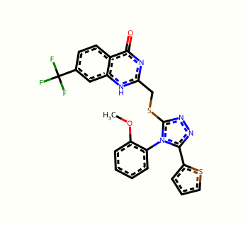 COc1ccccc1-n1c(SCc2nc(=O)c3ccc(C(F)(F)F)cc3[nH]2)nnc1-c1cccs1